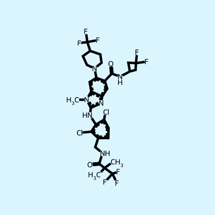 Cn1c(Nc2c(Cl)ccc(CNC(=O)C(C)(C)C(F)(F)F)c2Cl)nc2cc(C(=O)NC3CC(F)(F)C3)c(N3CCC(C(F)(F)F)CC3)cc21